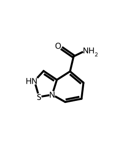 NC(=O)C1=CC=CN2SNC=C12